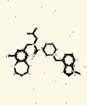 CC(C)CN(Cc1cc(Cl)c2c(c1)CCCCO2)C(=O)[C@@H]1CCCN(Cc2cccc3c2ccn3C)C1